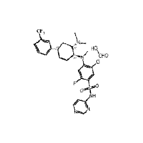 CN(C)[C@H]1C[C@@H](c2cccc(C(F)(F)F)c2)CC[C@@H]1N(C)c1cc(F)c(S(=O)(=O)Nc2ccncn2)cc1Cl.O=CO